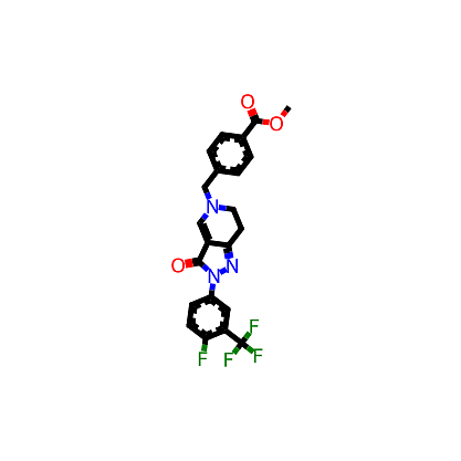 COC(=O)c1ccc(CN2C=C3C(=O)N(c4ccc(F)c(C(F)(F)F)c4)N=C3CC2)cc1